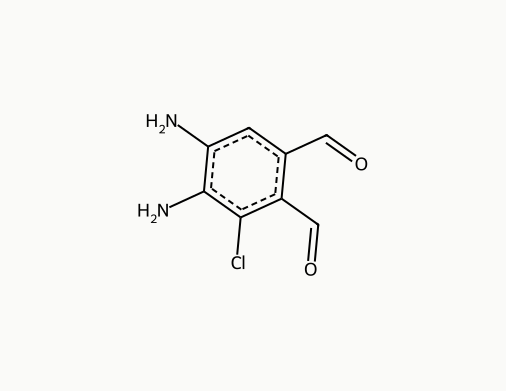 Nc1cc(C=O)c(C=O)c(Cl)c1N